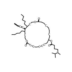 C=C=C=C=C1C(CCCCC)CCOC(=O)CCCCCCCC(OC(=O)CCCN(C)C(C)C)CCCCCCCC(=O)OCCC1CCCCC